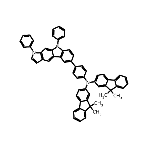 CC1(C)c2ccccc2-c2ccc(N(c3ccc(-c4ccc5c(c4)c4cc6ccn(-c7ccccc7)c6cc4n5-c4ccccc4)cc3)c3ccc4c(c3)C(C)(C)c3ccccc3-4)cc21